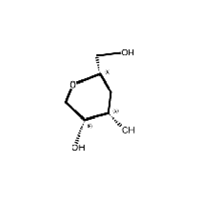 OC[C@@H]1C[C@H](O)[C@H](O)CO1